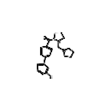 O=C(c1ccc(-c2cccc(Cl)c2)cc1)N1CCC[C@H]1CN1CCCC1